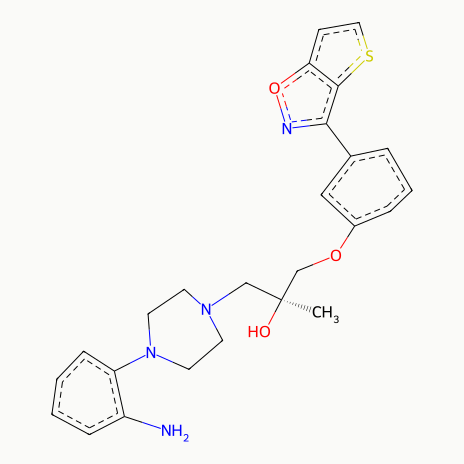 C[C@@](O)(COc1cccc(-c2noc3ccsc23)c1)CN1CCN(c2ccccc2N)CC1